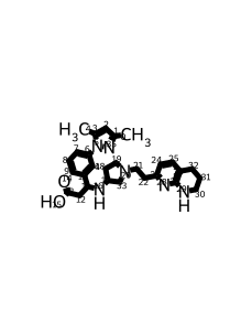 Cc1cc(C)n(-c2cccc(C(CC(=O)O)NC3CCN(CCc4ccc5c(n4)NCCC5)C3)c2)n1